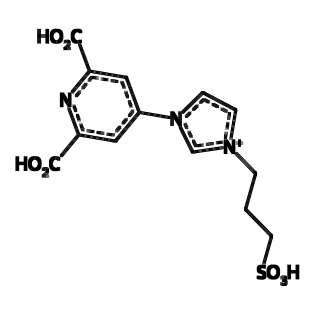 O=C(O)c1cc(-n2cc[n+](CCCS(=O)(=O)O)c2)cc(C(=O)O)n1